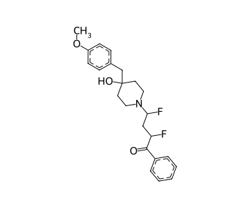 COc1ccc(CC2(O)CCN(C(F)CC(F)C(=O)c3ccccc3)CC2)cc1